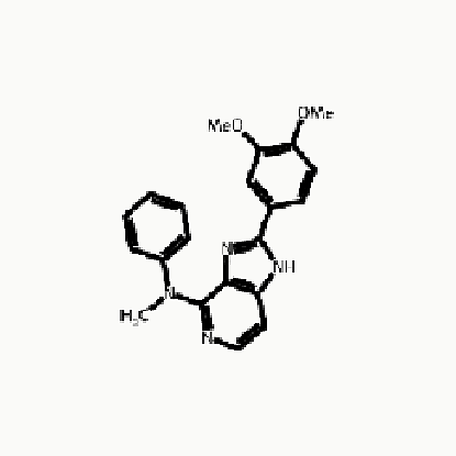 COc1ccc(-c2nc3c(N(C)c4ccccc4)nccc3[nH]2)cc1OC